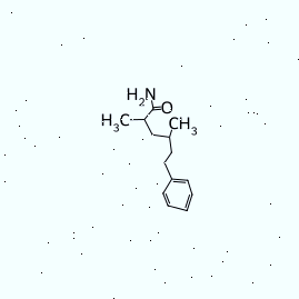 CC(CCc1ccccc1)CC(C)C(N)=O